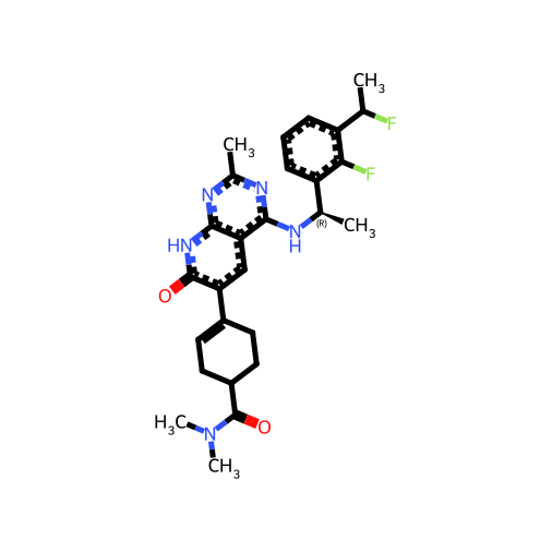 Cc1nc(N[C@H](C)c2cccc(C(C)F)c2F)c2cc(C3=CCC(C(=O)N(C)C)CC3)c(=O)[nH]c2n1